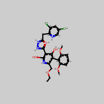 CCOCc1nc(O)c(-c2nnc(Cc3ncc(Cl)cc3F)o2)c(O)c1-c1c(OC)cccc1OC